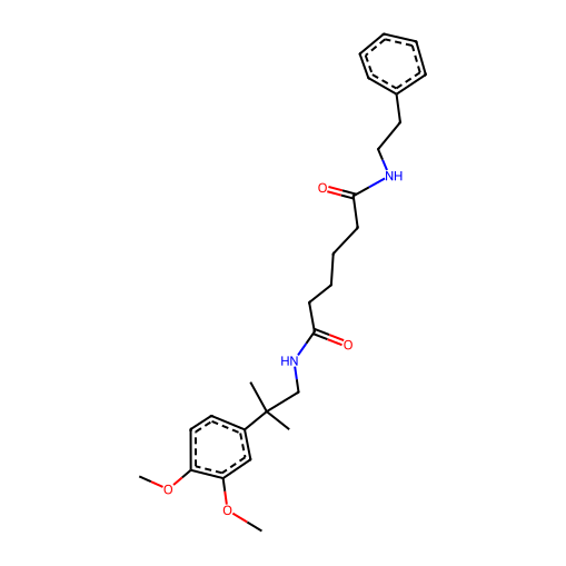 COc1ccc(C(C)(C)CNC(=O)CCCCC(=O)NCCc2ccccc2)cc1OC